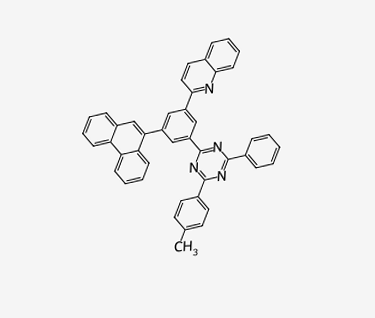 Cc1ccc(-c2nc(-c3ccccc3)nc(-c3cc(-c4ccc5ccccc5n4)cc(-c4cc5ccccc5c5ccccc45)c3)n2)cc1